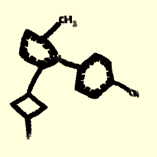 Cc1ccc(C2CC(F)C2)n1-c1ccc(C#N)cc1